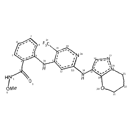 CONC(=O)c1ccccc1Nc1cc(Nc2cnn3c2OCCC3)ncc1C(F)(F)F